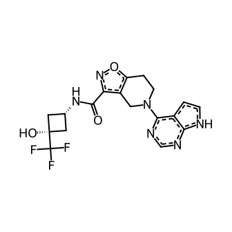 O=C(N[C@H]1C[C@](O)(C(F)(F)F)C1)c1noc2c1CN(c1ncnc3[nH]ccc13)CC2